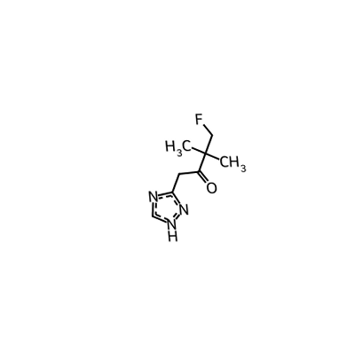 CC(C)(CF)C(=O)Cc1nc[nH]n1